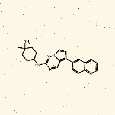 CC1(N)CCC(Nc2ncc3c(-c4ccc5ncccc5c4)ccn3n2)CC1